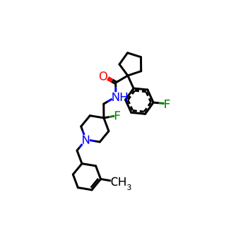 CC1=CCCC(CN2CCC(F)(CNC(=O)C3(c4cccc(F)c4)CCCC3)CC2)C1